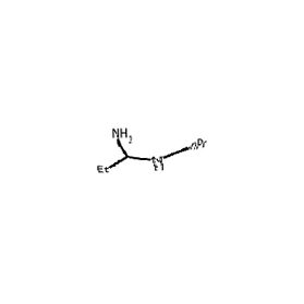 [CH2]CCNC(N)CC